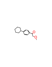 COCC(=O)c1ccc(C2CCCCC2)cc1